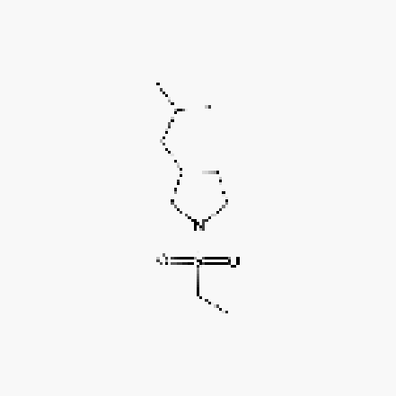 CCS(=O)(=O)N1CCC(CC(C)C)C1